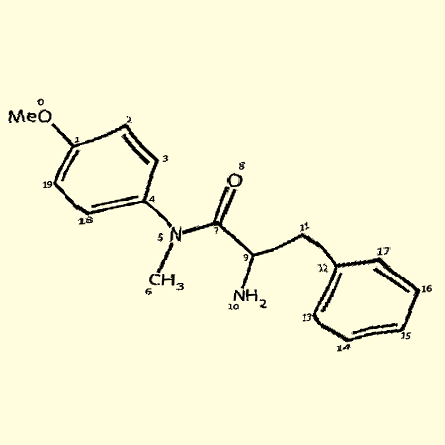 COc1ccc(N(C)C(=O)C(N)Cc2ccccc2)cc1